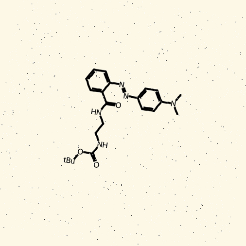 CN(C)c1ccc(N=Nc2ccccc2C(=O)NCCNC(=O)OC(C)(C)C)cc1